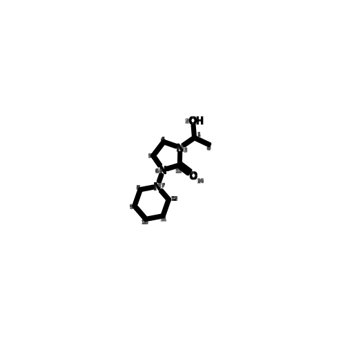 CC(O)N1CCN(N2CCCCC2)C1=O